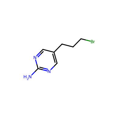 Nc1ncc(CCCBr)cn1